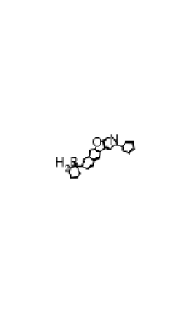 BC1(c2ccc3cc4c(cc3c2)oc2cnc(-c3ccccc3)cc24)CCCCC1